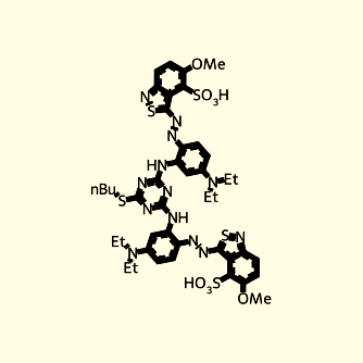 CCCCSc1nc(Nc2cc(N(CC)CC)ccc2/N=N/c2snc3ccc(OC)c(S(=O)(=O)O)c23)nc(Nc2cc(N(CC)CC)ccc2/N=N/c2snc3ccc(OC)c(S(=O)(=O)O)c23)n1